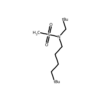 CC(C)(C)CCCCN(CC(C)(C)C)S(C)(=O)=O